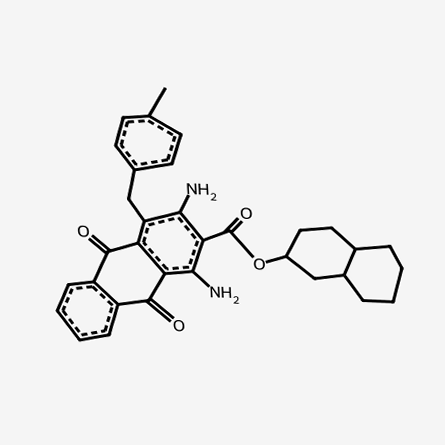 Cc1ccc(Cc2c(N)c(C(=O)OC3CCC4CCCCC4C3)c(N)c3c2C(=O)c2ccccc2C3=O)cc1